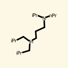 CCCN(CC[CH2][In]([CH2]C(C)C)[CH2]C(C)C)C(C)C